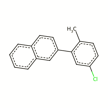 Cc1ccc(Cl)cc1-c1ccc2ccccc2c1